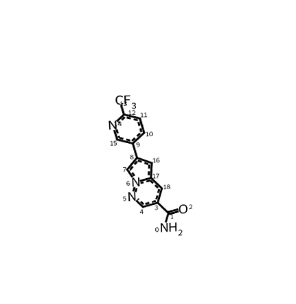 NC(=O)c1cnn2cc(-c3ccc(C(F)(F)F)nc3)cc2c1